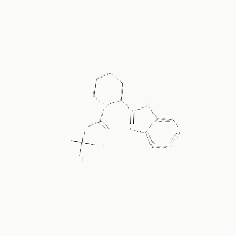 CC(C)(C)OC(=O)N1CCCCC1c1nc2ccccc2[nH]1